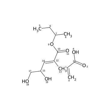 C=CC(=O)O.CCC(C)OC(=O)C(C)=CC(O)CO